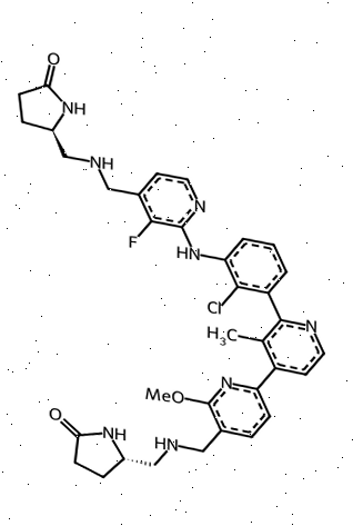 COc1nc(-c2ccnc(-c3cccc(Nc4nccc(CNC[C@H]5CCC(=O)N5)c4F)c3Cl)c2C)ccc1CNC[C@@H]1CCC(=O)N1